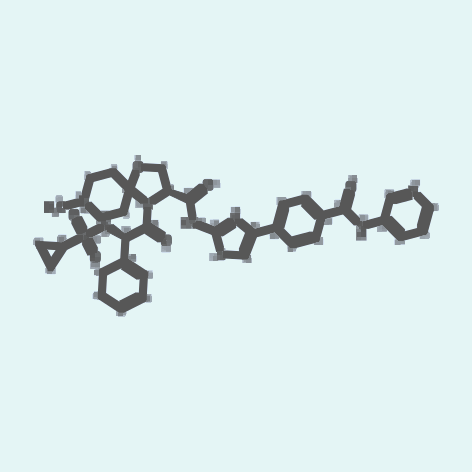 CN1CCC2(CC1)OC[C@@H](C(=O)Nc1nc(-c3ccc(C(=O)Nc4cccnc4)cc3)cs1)N2C(=O)[C@H](NS(=O)(=O)C1CC1)C1=CC=CCC1